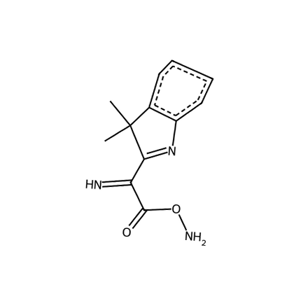 CC1(C)C(C(=N)C(=O)ON)=Nc2ccccc21